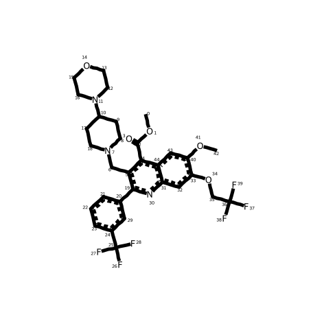 COC(=O)c1c(CN2CCC(N3CCOCC3)CC2)c(-c2cccc(C(F)(F)F)c2)nc2cc(OCC(F)(F)F)c(OC)cc12